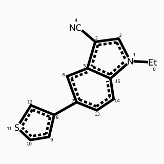 CCn1cc(C#N)c2cc(-c3ccsc3)ccc21